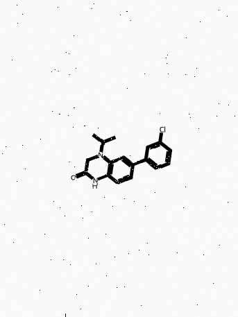 CC(C)N1CC(=O)Nc2ccc(-c3cccc(Cl)c3)cc21